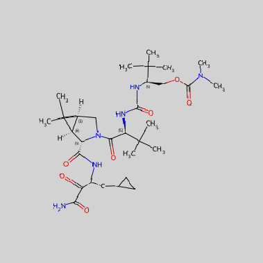 CN(C)C(=O)OC[C@@H](NC(=O)N[C@H](C(=O)N1C[C@H]2[C@@H]([C@H]1C(=O)NC(CC1CC1)C(=O)C(N)=O)C2(C)C)C(C)(C)C)C(C)(C)C